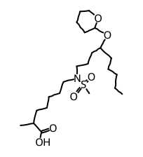 CCCCCC(CCCN(CCCCCC(C)C(=O)O)S(C)(=O)=O)OC1CCCCO1